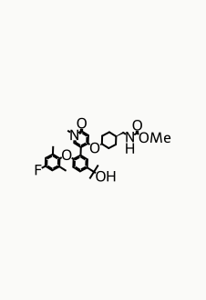 COC(=O)NC[C@H]1CC[C@H](Oc2cc(=O)n(C)cc2-c2cc(C(C)(C)O)ccc2Oc2c(C)cc(F)cc2C)CC1